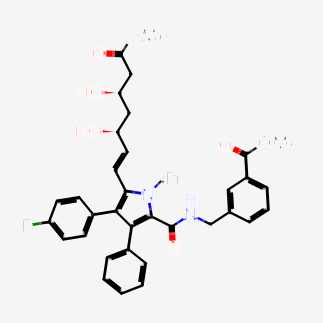 COC(=O)C[C@H](O)C[C@H](O)/C=C/c1c(-c2ccc(F)cc2)c(-c2ccccc2)c(C(=O)NCc2cccc(C(=O)OC)c2)n1C(C)C